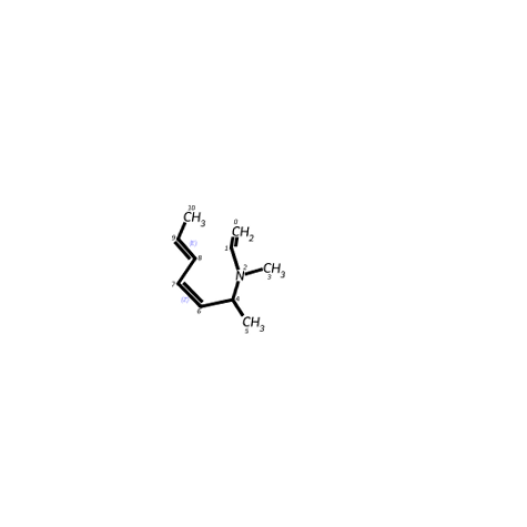 C=CN(C)C(C)/C=C\C=C\C